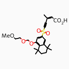 COCCOCOc1cc(S(=O)(=O)C#CC(C)=CC(=O)O)cc2c1C(C)(C)CCC2(C)C